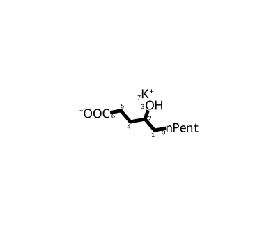 CCCCCCC(O)CCC(=O)[O-].[K+]